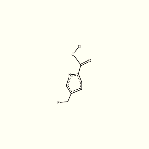 O=C(OCl)c1ccc(CF)cn1